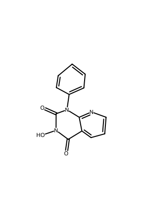 O=c1c2cccnc2n(-c2ccccc2)c(=O)n1O